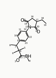 CBC(=O)C(C)(C)C(C)c1ccc(N2C(=O)CC(CC)C2=O)cc1